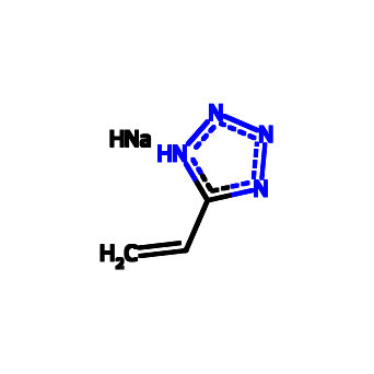 C=Cc1nnn[nH]1.[NaH]